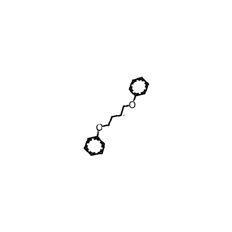 [CH](CCOc1ccccc1)COc1ccccc1